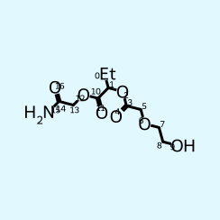 CCC(OC(=O)COCCO)C(=O)OCC(N)=O